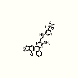 CS(=O)(=O)Nc1cncc(NCCc2nc(-c3cc(Cl)c4[nH]ncc4c3)c(-c3ccccc3)nc2N)c1